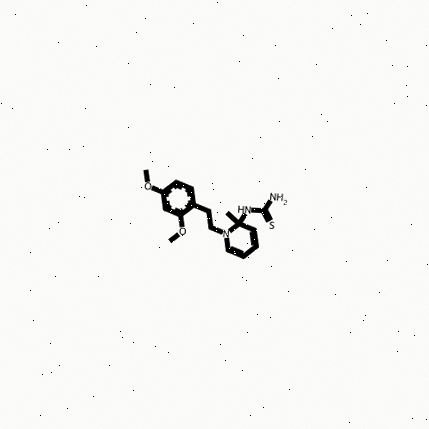 COc1ccc(CCN2C=CC=CC2(C)NC(N)=S)c(OC)c1